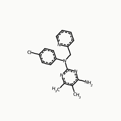 Cc1nc(N(Cc2ccccn2)c2ccc(Cl)cc2)nc(N)c1C